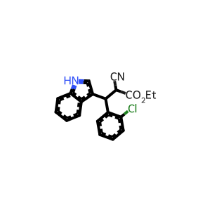 CCOC(=O)C(C#N)C(c1ccccc1Cl)c1c[nH]c2ccccc12